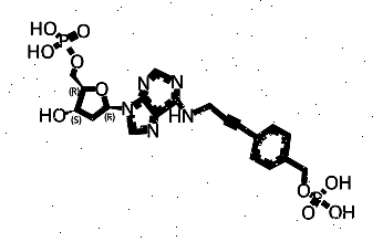 O=P(O)(O)OCc1ccc(C#CCNc2ncnc3c2ncn3[C@H]2C[C@H](O)[C@@H](COP(=O)(O)O)O2)cc1